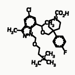 Cc1nn(COCC[Si](C)(C)C)c2c(C(C)OCC3(c4ccc(F)cc4)CCN(C(=O)O)CC3)cc(Cl)cc12